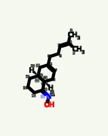 CC(C)=CCCC1=CC[C@H]2/C(=N/O)CCC[C@H]2C1